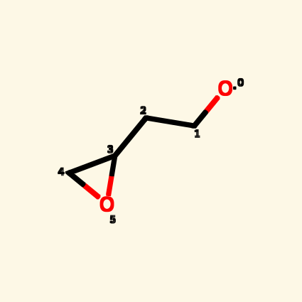 [O]CCC1CO1